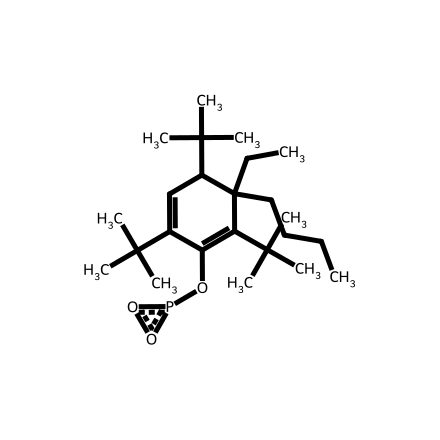 CCCCC1(CC)C(C(C)(C)C)=C(Op2oo2)C(C(C)(C)C)=CC1C(C)(C)C